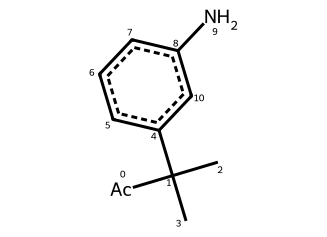 CC(=O)C(C)(C)c1cccc(N)c1